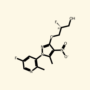 Cc1ncc(F)cc1-n1nc(OC[C@H](F)CO)c([N+](=O)[O-])c1C